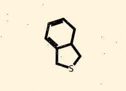 C1=CCC2CSCC2=C1